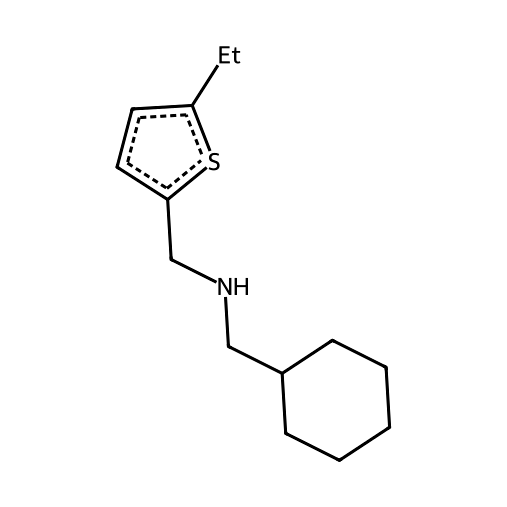 CCc1ccc(CNCC2CCCCC2)s1